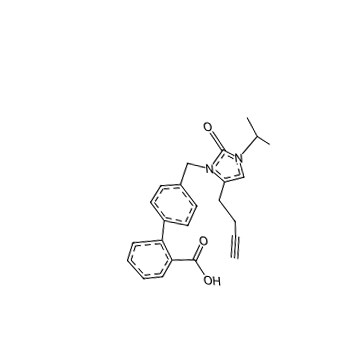 C#CCCc1cn(C(C)C)c(=O)n1Cc1ccc(-c2ccccc2C(=O)O)cc1